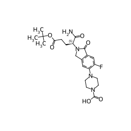 CC(C)(C)OC(=O)CC[C@@H](C(N)=O)N1Cc2cc(N3CCN(C(=O)O)CC3)c(F)cc2C1=O